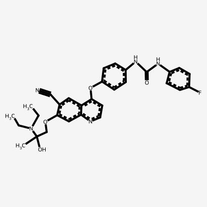 CCN(CC)C(C)(O)COc1cc2nccc(Oc3ccc(NC(=O)Nc4ccc(F)cc4)cc3)c2cc1C#N